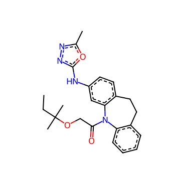 CCC(C)(C)OCC(=O)N1c2ccccc2CCc2ccc(Nc3nnc(C)o3)cc21